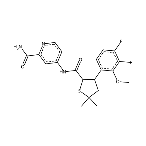 COc1c(C2CC(C)(C)SC2C(=O)Nc2ccnc(C(N)=O)c2)ccc(F)c1F